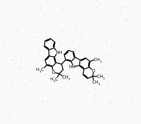 Cc1cc2c([nH]c3ccccc32)c2c1OC(C)(C)CC2c1cccc2c1[nH]c1c3c(c(C)cc12)OC(C)(C)C=C3